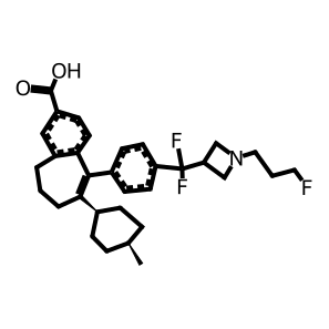 C[C@H]1CC[C@@H](C2=C(c3ccc(C(F)(F)C4CN(CCCF)C4)cc3)c3ccc(C(=O)O)cc3CCC2)CC1